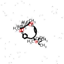 CC[Si](CC)(CC)OC(C)(C)C1Cc2ccc(cc2)B2OC(C)(C)C(C)(CC3(C)OB(OC3(C)C)c3ccc(cc3)C1)O2